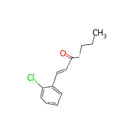 CCCCC(=O)C=Cc1ccccc1Cl